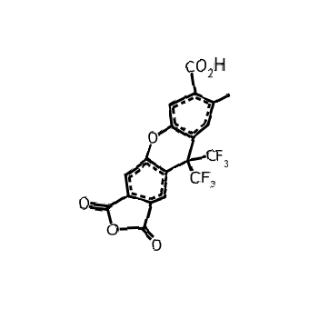 Cc1cc2c(cc1C(=O)O)Oc1cc3c(cc1C2(C(F)(F)F)C(F)(F)F)C(=O)OC3=O